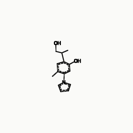 Cc1cc(C(C)CO)c(O)cc1-n1cccc1